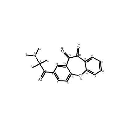 CN(C)C(C)(C)C(=O)c1ccc2oc3ccccc3c(=O)c(=O)c2c1